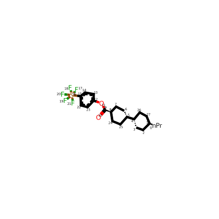 CCC[C@H]1CC[C@H]([C@H]2CC[C@H](C(=O)Oc3ccc(S(F)(F)(F)(F)F)cc3)CC2)CC1